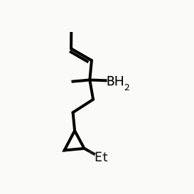 BC(C)(C=CC)CCC1CC1CC